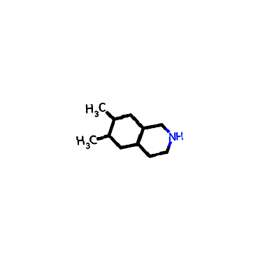 CC1CC2CCNCC2CC1C